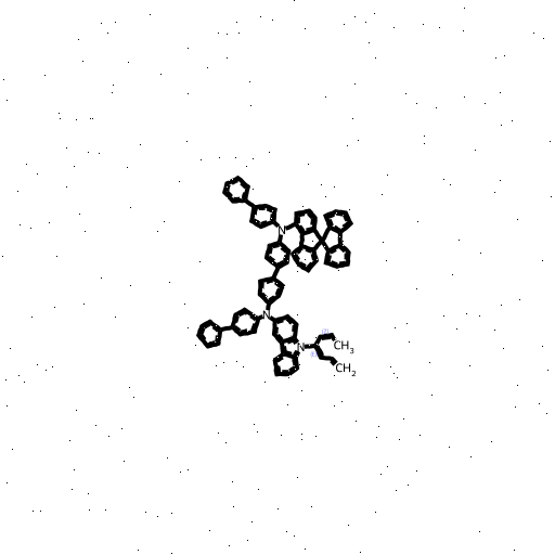 C=C/C=C(\C=C/C)n1c2ccccc2c2cc(N(c3ccc(-c4ccccc4)cc3)c3ccc(-c4ccc(N(c5ccc(-c6ccccc6)cc5)c5cccc6c5-c5ccccc5C65c6ccccc6-c6ccccc65)cc4)cc3)ccc21